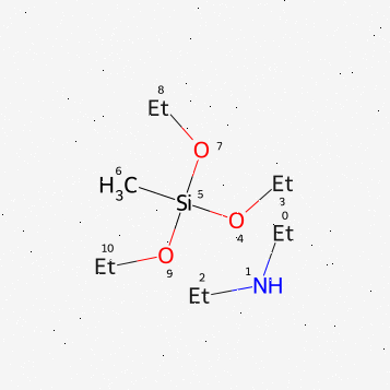 CCNCC.CCO[Si](C)(OCC)OCC